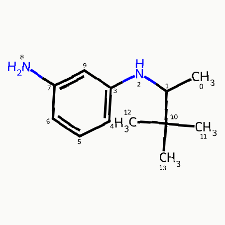 CC(Nc1cccc(N)c1)C(C)(C)C